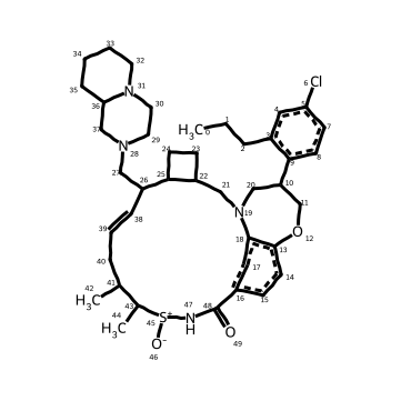 CCCc1cc(Cl)ccc1C1COc2ccc3cc2N(C1)CC1CCC1C(CN1CCN2CCCCC2C1)/C=C/CC(C)C(C)[S+]([O-])NC3=O